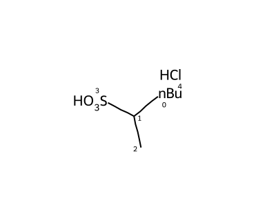 CCCCC(C)S(=O)(=O)O.Cl